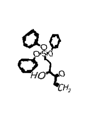 C=CC(=O)C(O)CC[Si](Oc1ccccc1)(Oc1ccccc1)Oc1ccccc1